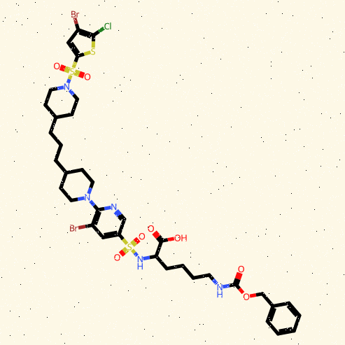 O=C(NCCCCC(NS(=O)(=O)c1cnc(N2CCC(CCCC3CCN(S(=O)(=O)c4cc(Br)c(Cl)s4)CC3)CC2)c(Br)c1)C(=O)O)OCc1ccccc1